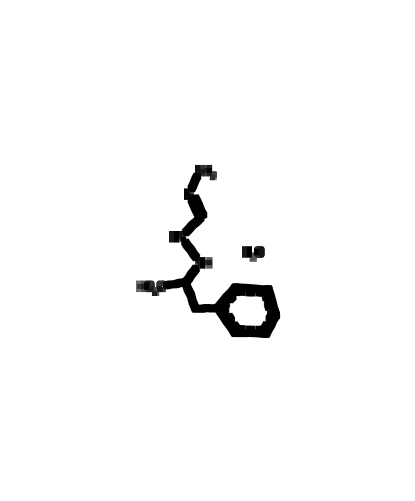 NN=CNNC(Cc1ccccc1)C(=O)O.O